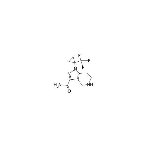 NC(=O)c1nn(C2(C(F)(F)F)CC2)c2c1CNCC2